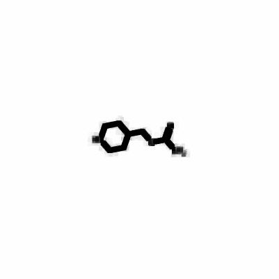 NC(=O)OCC1CCNCC1